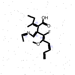 C=C\C=C/C(OC)=C(F)/C(=C/N=C\C)C(/C(=O)O)=C(\C)CC